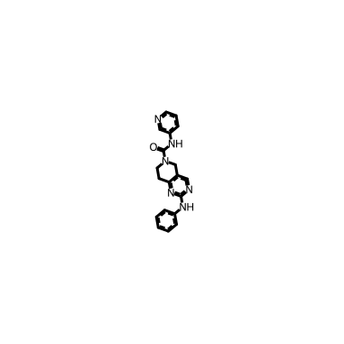 O=C(Nc1cccnc1)N1CCc2nc(Nc3ccccc3)ncc2C1